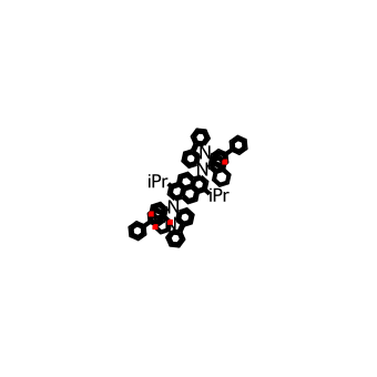 CC(C)c1cc(N(c2cccc3c2CCCC3)c2cccc3c4ccccc4n(-c4cccc(-c5ccccc5)c4)c23)c2ccc3c(C(C)C)cc(N(c4cccc5c4CCCC5)c4cccc5c6ccccc6n(-c6cccc(-c7ccccc7)c6)c45)c4ccc1c2c34